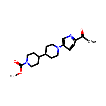 COC(=O)c1ccc(N2CCC(C3CCN(C(=O)OC(C)(C)C)CC3)CC2)cn1